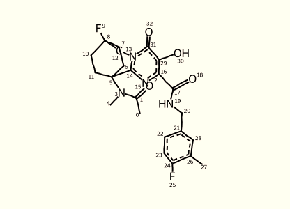 CC(=O)N(C)C12CCC(F)(CC1)Cn1c2nc(C(=O)NCc2ccc(F)c(C)c2)c(O)c1=O